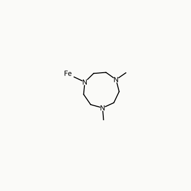 CN1CCN(C)CCN(C)CC1.[Fe]